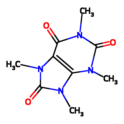 Cn1c(=O)c2c(n(C)c1=O)n(C)c(=O)n2C